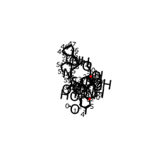 COc1c(C)cc2c(c1O)[C@H]1C3[C@@H]4SC[C@]5(C(=O)COC[C@@H](c6c7c(c(C)c(OC(C)=O)c64)OCO7)N3[C@@H](O)[C@@H](C2)N1C)c1[nH]c2ccccc2c1CCN5C